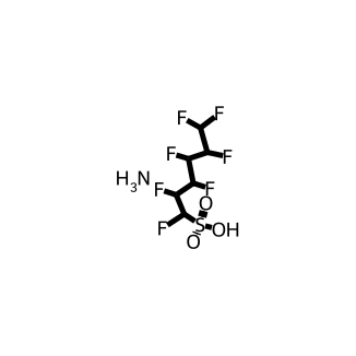 N.O=S(=O)(O)C(F)C(F)C(F)C(F)C(F)C(F)F